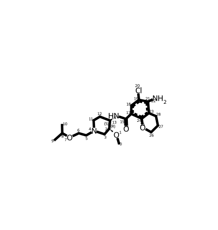 CO[C@@H]1CN(CCOC(C)C)CC[C@@H]1NC(=O)c1cc(Cl)c(N)c2c1OCCC2